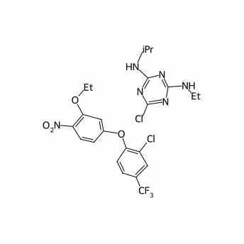 CCNc1nc(Cl)nc(NC(C)C)n1.CCOc1cc(Oc2ccc(C(F)(F)F)cc2Cl)ccc1[N+](=O)[O-]